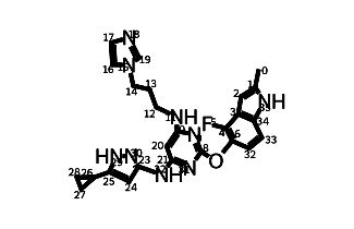 Cc1cc2c(F)c(Oc3nc(NCCCn4ccnc4)cc(Nc4cc(C5CC5)[nH]n4)n3)ccc2[nH]1